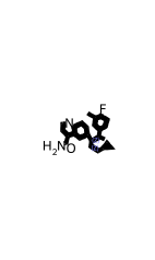 C/C(=C(\C=C/C1C=C1)c1ccc2nccc(C(N)=O)c2c1)c1ccc(F)c(C)c1